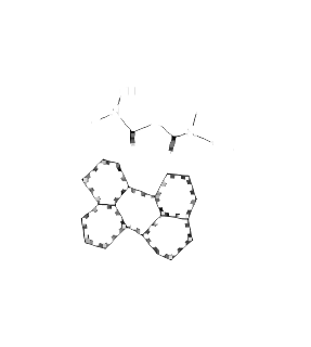 CN(C)C(=S)SC(=S)N(C)C.c1cc2cccc3c4cccc5cccc(c(c1)c23)c54